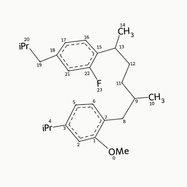 COc1cc(C(C)C)ccc1CC(C)CCC(C)c1ccc(CC(C)C)cc1F